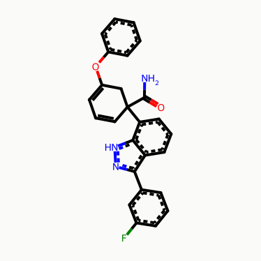 NC(=O)C1(c2cccc3c(-c4cccc(F)c4)n[nH]c23)C=CC=C(Oc2ccccc2)C1